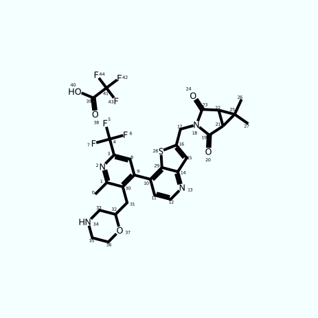 Cc1nc(C(F)(F)F)cc(-c2ccnc3cc(CN4C(=O)C5C(C4=O)C5(C)C)sc23)c1CC1CNCCO1.O=C(O)C(F)(F)F